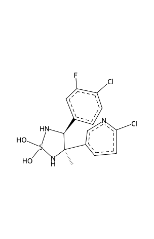 C[C@]1(c2ccc(Cl)nc2)NS(O)(O)N[C@H]1c1ccc(Cl)c(F)c1